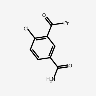 CC(C)C(=O)c1cc(C(N)=O)ccc1Cl